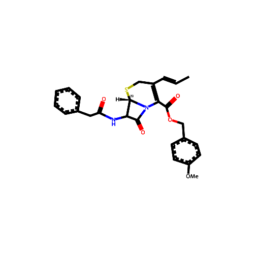 CC=CC1=C(C(=O)OCc2ccc(OC)cc2)N2C(=O)C(NC(=O)Cc3ccccc3)[C@@H]2SC1